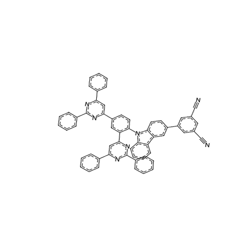 N#Cc1cc(C#N)cc(-c2ccc3c(c2)c2ccccc2n3-c2ccc(-c3cc(-c4ccccc4)nc(-c4ccccc4)n3)cc2-c2cc(-c3ccccc3)nc(-c3ccccc3)n2)c1